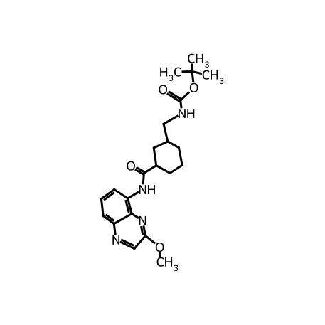 COc1cnc2cccc(NC(=O)C3CCCC(CNC(=O)OC(C)(C)C)C3)c2n1